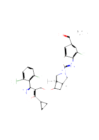 COC(=O)c1cc(F)c2nc(N3C[C@H]4CC(OCc5c(-c6c(Cl)cccc6Cl)noc5C5CC5)[C@H]4C3)sc2c1